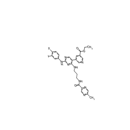 CCOC(=O)c1cncc(-c2cnc(Nc3ccc(F)c(I)c3)nc2NCCCNC(=O)c2cnc(C)cn2)c1